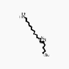 CCPCCCCCCCCCCn1cc(CCCCC(C)(C)C)nn1